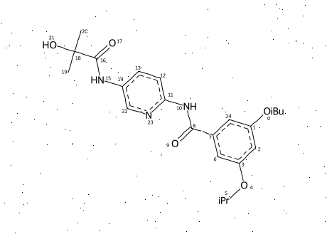 CC(C)COc1cc(OC(C)C)cc(C(=O)Nc2ccc(NC(=O)C(C)(C)O)cn2)c1